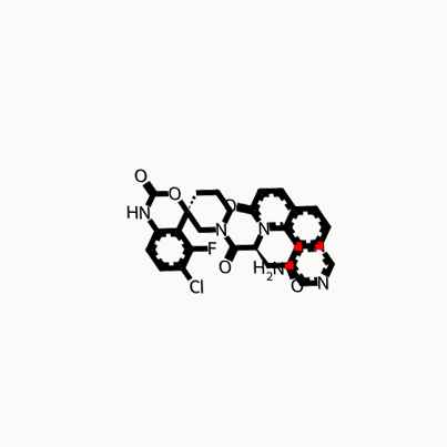 NC(=O)c1cccc2ccc(=O)n([C@@H](Cc3cncnc3)C(=O)N3CCC[C@@]4(C3)OC(=O)Nc3ccc(Cl)c(F)c34)c12